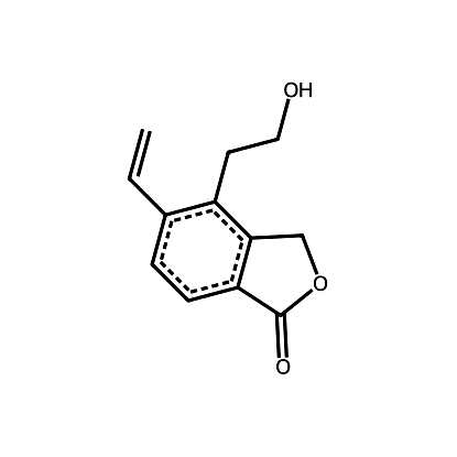 C=Cc1ccc2c(c1CCO)COC2=O